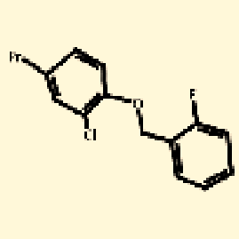 CC(C)c1ccc(OCc2ccccc2F)c(Cl)c1